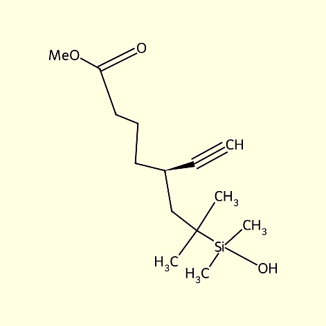 C#C[C@H](CCCC(=O)OC)CC(C)(C)[Si](C)(C)O